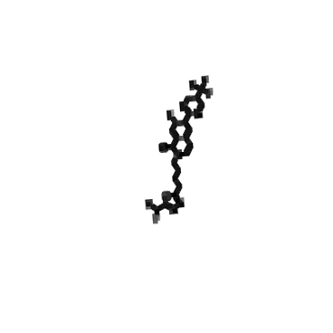 O=c1c2cc(F)c(-c3ncc(C(F)(F)F)cn3)cc2ccn1CCCCc1nnc(C(F)F)o1